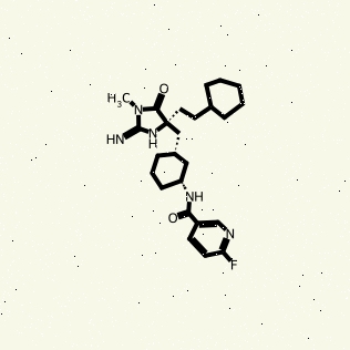 CN1C(=N)N[C@](CCC2CCCCC2)(C[C@H]2CCC[C@@H](NC(=O)c3ccc(F)nc3)C2)C1=O